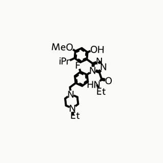 CCNC(=O)c1nnc(-c2cc(C(C)C)c(OC)cc2O)n1-c1ccc(CN2CCN(CC)CC2)cc1F